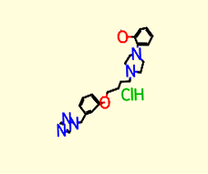 COc1ccccc1N1CCN(CCCCOc2cccc(Cn3cncn3)c2)CC1.Cl